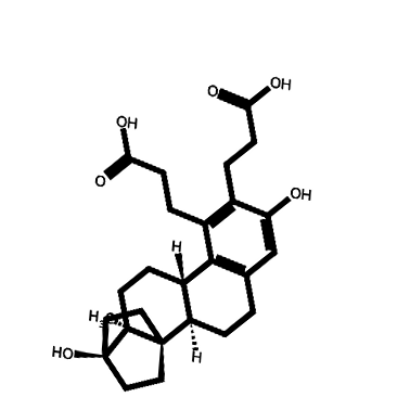 C[C@]12CC[C@@H]3c4c(cc(O)c(CCC(=O)O)c4CCC(=O)O)CC[C@H]3[C@]13CC[C@]2(O)CC3